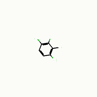 [CH2]Cc1c(Cl)ccc(Cl)c1Cl